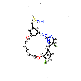 CS(=N)Cc1cc2cc(c1)OCCCCCOc1cc(ccc1F)-c1nc(ncc1F)N2